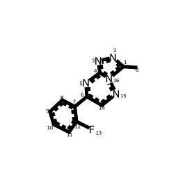 Cc1nnc2nc(-c3ccccc3F)cnn12